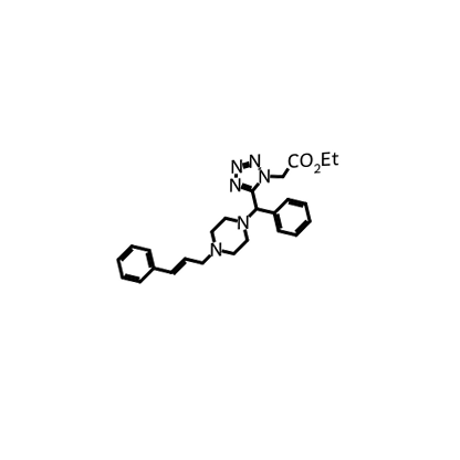 CCOC(=O)Cn1nnnc1C(c1ccccc1)N1CCN(CC=Cc2ccccc2)CC1